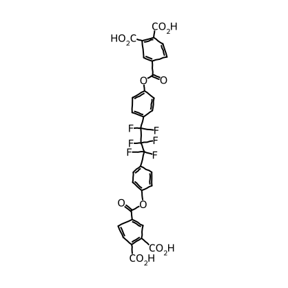 O=C(Oc1ccc(C(F)(F)C(F)(F)C(F)(F)c2ccc(OC(=O)c3ccc(C(=O)O)c(C(=O)O)c3)cc2)cc1)c1ccc(C(=O)O)c(C(=O)O)c1